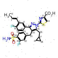 C/C=C/c1cc(-c2nn(-c3nc(C(=O)O)cs3)c(CC3CC3)c2Cc2ccc(S(N)(=O)=O)c(F)c2)ccc1F